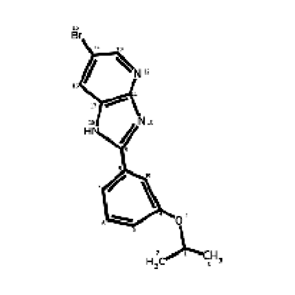 CC(C)Oc1cccc(-c2nc3ncc(Br)cc3[nH]2)c1